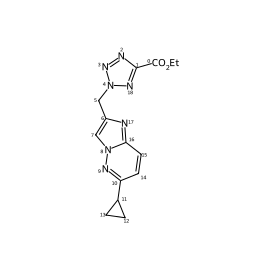 CCOC(=O)c1nnn(Cc2cn3nc(C4CC4)ccc3n2)n1